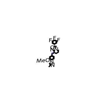 COc1cc(/C=C2\CCCN3C[C@@H](c4cc(F)c(F)c(F)c4)ON=C23)ccc1-n1cnc(C)c1